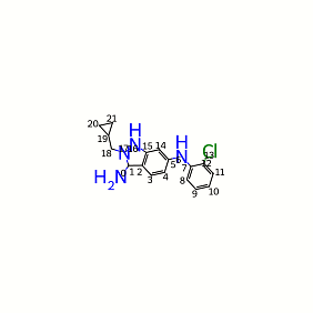 NC1c2ccc(Nc3ccccc3Cl)cc2NN1CC1CC1